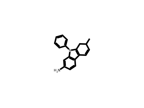 CC1C=Cc2c(n(-c3ccccc3)c3cc(N)ccc23)C1